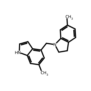 Cc1ccc2c(c1)N(Cc1cc(C)cc3[nH]ccc13)CC2